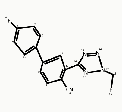 N#Cc1ccc(-c2ccc(F)cc2)cc1-c1nnn(CF)n1